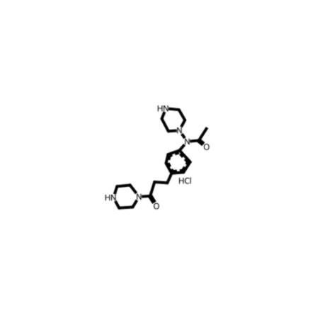 CC(=O)N(c1ccc(CCC(=O)N2CCNCC2)cc1)N1CCNCC1.Cl